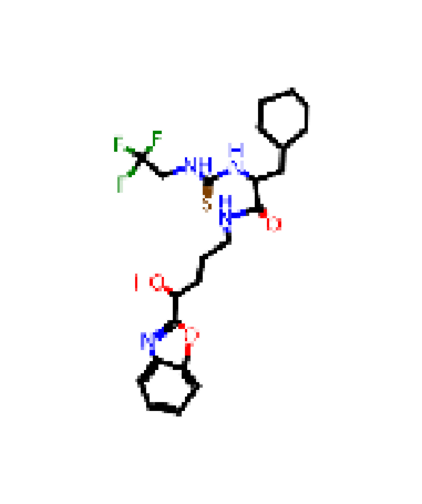 O=C(NCCCC(O)c1nc2ccccc2o1)C(CC1CCCCC1)NC(=S)NCC(F)(F)F